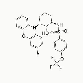 O=S(=O)(N[C@@H]1CCC[C@H](N2c3ccccc3Oc3cc(F)ccc32)[C@H]1O)c1ccc(OC(F)(F)F)cc1